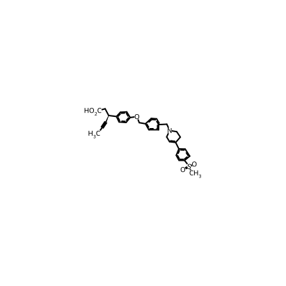 CC#C[C@@H](CC(=O)O)c1ccc(OCc2ccc(CN3CC=C(c4ccc(S(C)(=O)=O)cc4)CC3)cc2)cc1